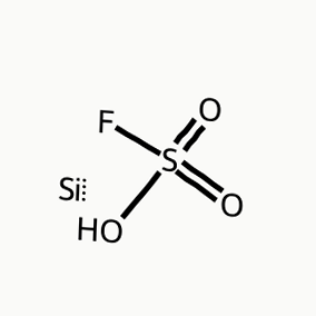 O=S(=O)(O)F.[Si]